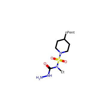 CCCCCC1CCN(S(=O)(=O)N(CC)C(=O)NN)CC1